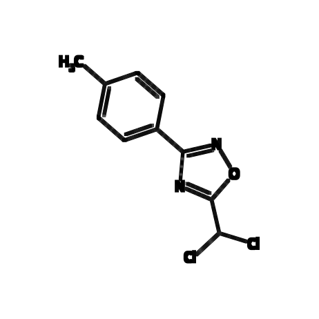 Cc1ccc(-c2noc(C(Cl)Cl)n2)cc1